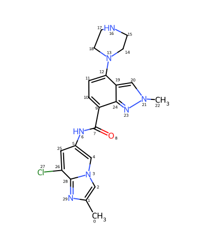 Cc1cn2cc(NC(=O)c3ccc(N4CCNCC4)c4cn(C)nc34)cc(Cl)c2n1